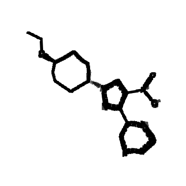 CCO[C@H]1CC[C@H](n2cc([N+](=O)[O-])c(-c3cnccn3)n2)CC1